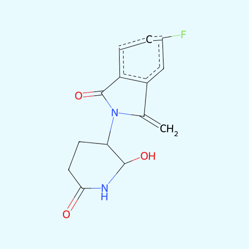 C=C1c2cc(F)ccc2C(=O)N1C1CCC(=O)NC1O